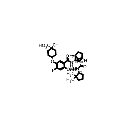 COc1cc(F)c(O[C@H]2CC[C@@](C)(C(=O)O)CC2)cc1C(=O)N[C@@H]1[C@H]2CC[C@H](C2)[C@@H]1C(=O)N[C@@H]1CCCC1(C)C